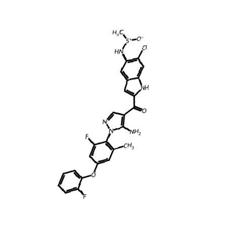 Cc1cc(Oc2ccccc2F)cc(F)c1-n1ncc(C(=O)c2cc3cc(N[S+](C)[O-])c(Cl)cc3[nH]2)c1N